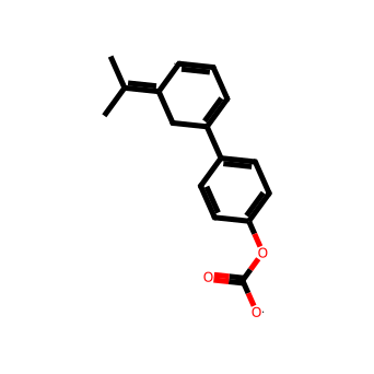 CC(C)=C1[C]=CC=C(c2ccc(OC([O])=O)cc2)C1